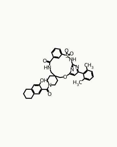 Cc1cccc(C)c1-c1cc2nc(n1)NS(=O)(=O)c1cccc(c1)C(=O)NCC1(CCN(C(=O)c3cc4c(cc3O)CCCC4)CC1)CO2